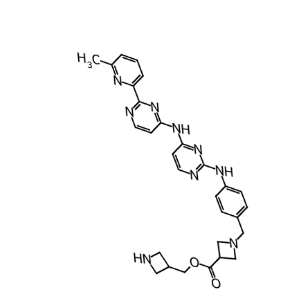 Cc1cccc(-c2nccc(Nc3ccnc(Nc4ccc(CN5CC(C(=O)OCC6CNC6)C5)cc4)n3)n2)n1